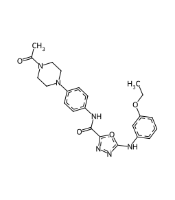 CCOc1cccc(Nc2nnc(C(=O)Nc3ccc(N4CCN(C(C)=O)CC4)cc3)o2)c1